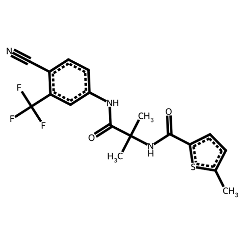 Cc1ccc(C(=O)NC(C)(C)C(=O)Nc2ccc(C#N)c(C(F)(F)F)c2)s1